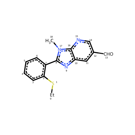 CCSc1ccccc1-c1nc2cc(C=O)cnc2n1C